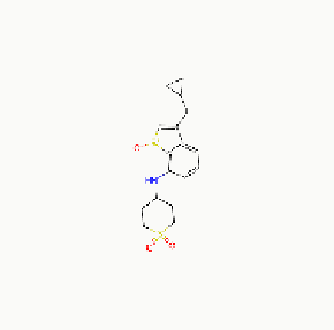 O=S1(=O)CCC(Nc2cccc3c(CC4CC4)c[s+]([O-])c23)CC1